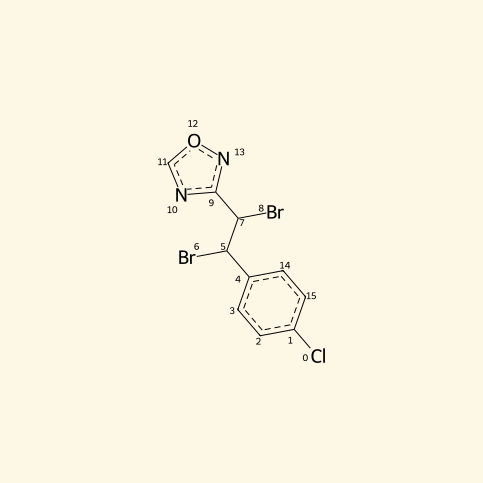 Clc1ccc(C(Br)C(Br)c2ncon2)cc1